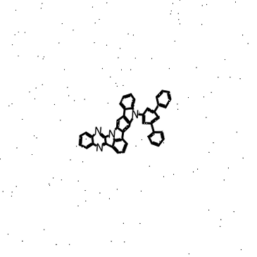 c1ccc(-c2cc(-c3ccccc3)cc(-n3c4ccccc4c4cc5c(cc43)c3cccc4c6nc7ccccc7nc6n5c34)c2)cc1